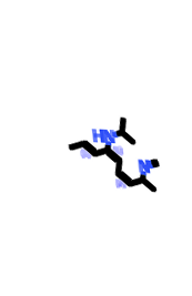 C=NC(C)\C=C/C=C(\C=C\C)NC(C)C